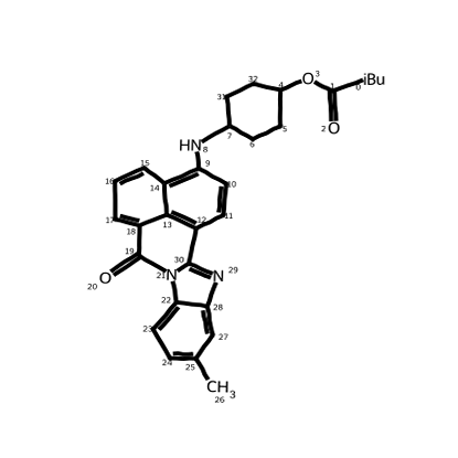 CCC(C)C(=O)OC1CCC(Nc2ccc3c4c2cccc4c(=O)n2c4ccc(C)cc4nc32)CC1